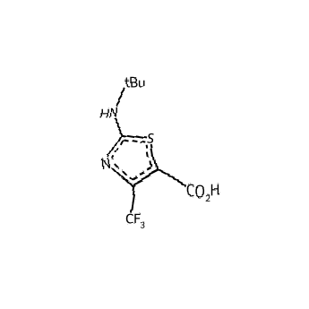 CC(C)(C)Nc1nc(C(F)(F)F)c(C(=O)O)s1